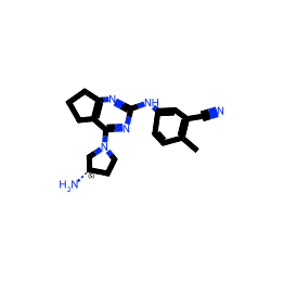 Cc1ccc(Nc2nc3c(c(N4CC[C@H](N)C4)n2)CCC3)cc1C#N